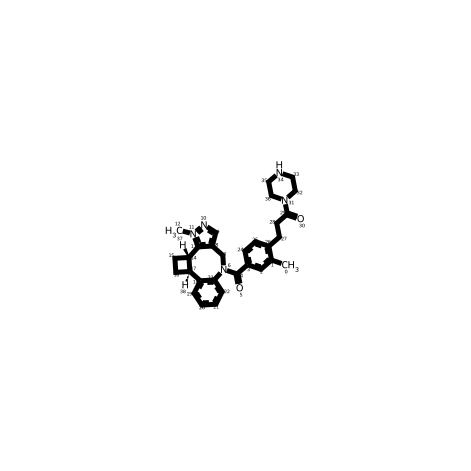 Cc1cc(C(=O)N2Cc3cnn(C)c3[C@H]3CC[C@@H]3c3ccccc32)ccc1CCC(=O)N1CCNCC1